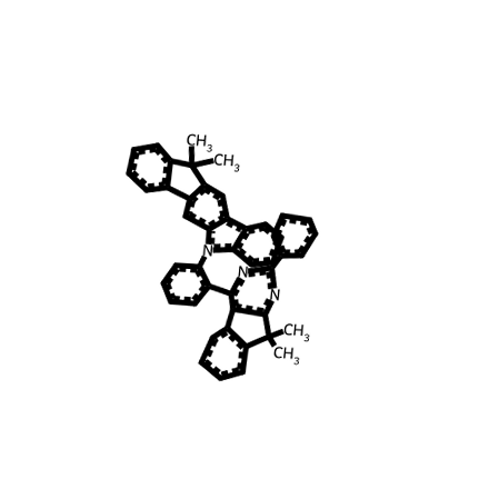 CC1(C)c2ccccc2-c2cc3c(cc21)c1ccccc1n3-c1ccccc1-c1nc(-c2ccccc2)nc2c1-c1ccccc1C2(C)C